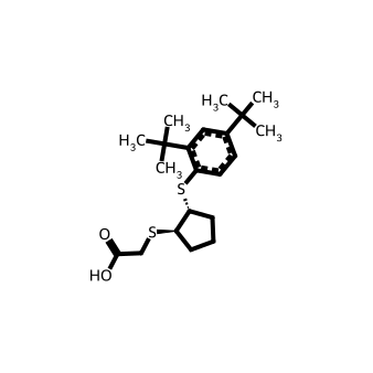 CC(C)(C)c1ccc(S[C@@H]2CCC[C@H]2SCC(=O)O)c(C(C)(C)C)c1